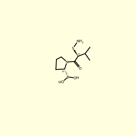 CC(C)[C@H](SN)C(=O)N1CCC[C@H]1B(O)O